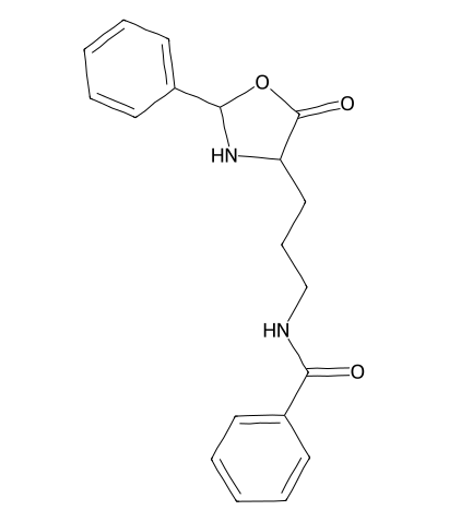 O=C(NCCCC1NC(c2ccccc2)OC1=O)c1ccccc1